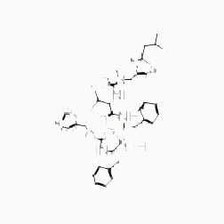 CC(C)Cc1nc(CN(C)C(=O)N[C@H](C(=O)N[C@@H](Cc2ccccc2)C[C@H](O)[C@H](Cc2ccccc2)NC(=O)OCc2cncs2)C(C)C)cs1